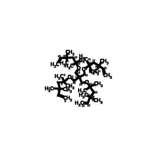 C=CC(C)(C)CC(C)(C)OCC(COC(C)(C)CC(C)(C)C=C)(COC(C)(C)CC(C)(C)C=C)COC(C)(C)CC(C)(C)C=C